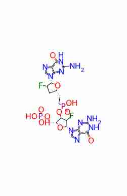 Nc1nc2c(ncn2[C@@H]2O[C@H](COP(=O)(O)O)[C@@H](OP(=O)(O)CC[C@@H]3C[C@@H](F)[C@H](n4cnc5c(=O)[nH]c(N)nc54)O3)[C@H]2F)c(=O)[nH]1